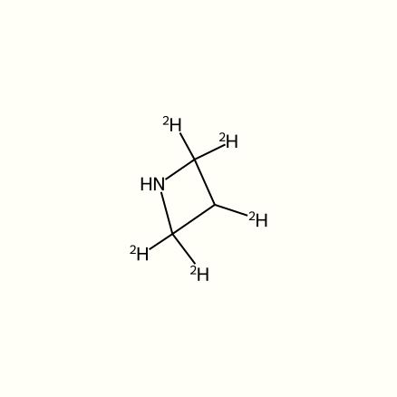 [2H]C1C([2H])([2H])NC1([2H])[2H]